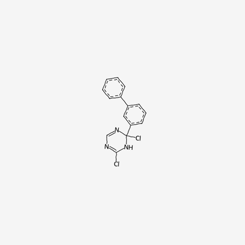 ClC1=NC=NC(Cl)(c2cccc(-c3ccccc3)c2)N1